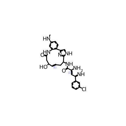 CNc1ccc2c(c1)NC(=O)CC(O)/C=C/CC(NC(=O)/C(N)=C/C(=N)c1cccc(Cl)c1)c1nc-2c[nH]1